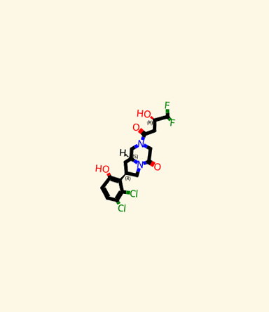 O=C(C[C@@H](O)C(F)F)N1CC(=O)N2C[C@@H](c3c(O)ccc(Cl)c3Cl)C[C@H]2C1